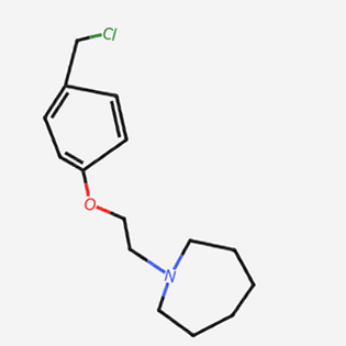 ClCc1ccc(OCCN2CCCCCC2)cc1